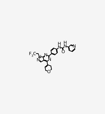 O=C(Nc1ccc(-c2nc(C3=CCOCC3)c3cnn(CC(F)(F)F)c3n2)cc1)Nc1cccnc1